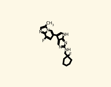 Cc1cnc2c(F)cc(-c3c[nH]c4nc(NCC5(F)CCCCC5)ncc34)cn12